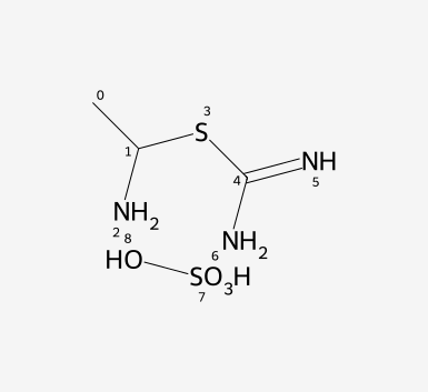 CC(N)SC(=N)N.O=S(=O)(O)O